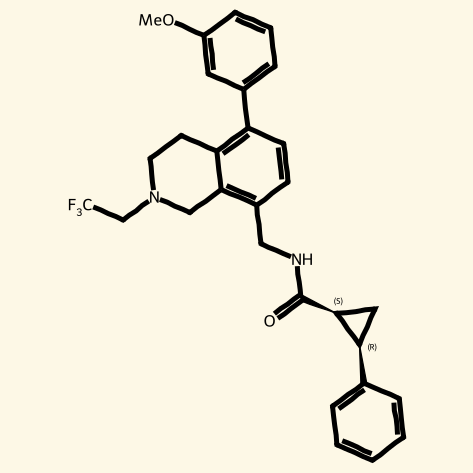 COc1cccc(-c2ccc(CNC(=O)[C@H]3C[C@H]3c3ccccc3)c3c2CCN(CC(F)(F)F)C3)c1